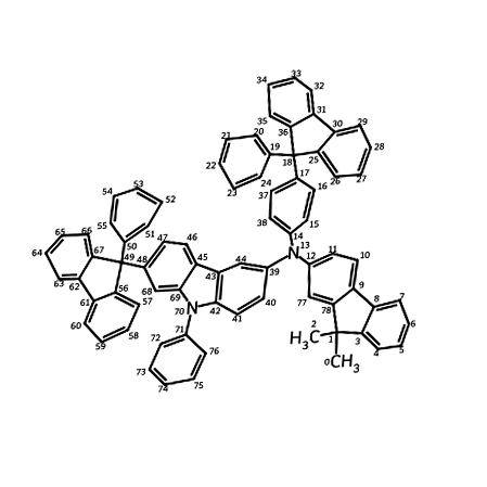 CC1(C)c2ccccc2-c2ccc(N(c3ccc(C4(c5ccccc5)c5ccccc5-c5ccccc54)cc3)c3ccc4c(c3)c3ccc(C5(c6ccccc6)c6ccccc6-c6ccccc65)cc3n4-c3ccccc3)cc21